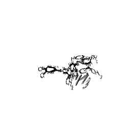 CC(C)[C@H]1CN(C)C(O)N1c1ccnc(N[C@@H](C)c2cn(-c3ccc(Cl)c(Cl)c3)cn2)n1